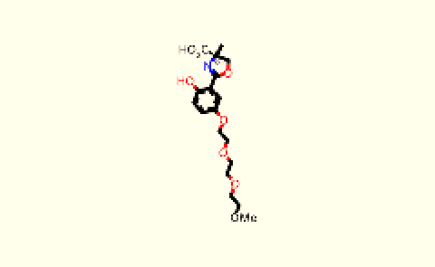 COCCOCCOCCOc1ccc(O)c(C2=N[C@@](C)(C(=O)O)CO2)c1